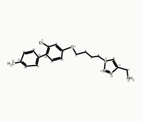 CCc1cc(OCCCCn2cc(CN)nn2)ccc1-c1ccc(C)cc1